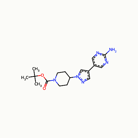 CC(C)(C)OC(=O)N1CCC(n2cc(-c3cnc(N)nc3)cn2)CC1